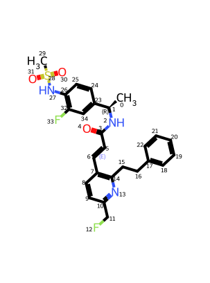 C[C@@H](NC(=O)/C=C/c1ccc(CF)nc1CCc1ccccc1)c1ccc(NS(C)(=O)=O)c(F)c1